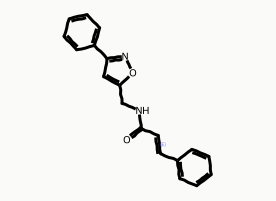 O=C(/C=C/c1ccccc1)NCc1cc(-c2ccccc2)no1